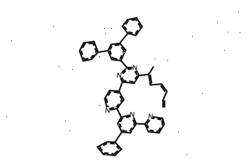 C=C/C=C\C=C(/C)c1cc(-c2ccnc(-c3cc(-c4ccccc4)cc(-c4ccccn4)n3)c2)nc(-c2cc(-c3ccccc3)cc(-c3ccccc3)c2)n1